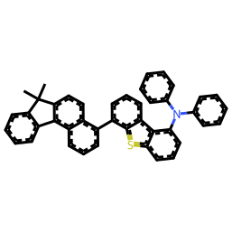 CC1(C)c2ccccc2-c2c1ccc1c(-c3cccc4c3sc3cccc(N(c5ccccc5)c5ccccc5)c34)cccc21